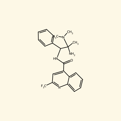 CN(C)C(C)(N)C(NC(=O)c1cc(C(F)(F)F)nc2ccccc12)c1ccccc1